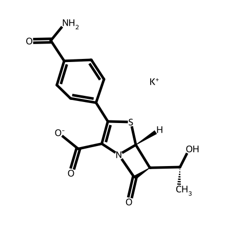 C[C@@H](O)[C@H]1C(=O)N2C(C(=O)[O-])=C(c3ccc(C(N)=O)cc3)S[C@H]12.[K+]